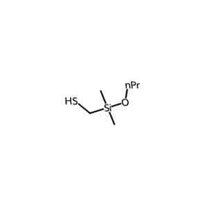 CCCO[Si](C)(C)CS